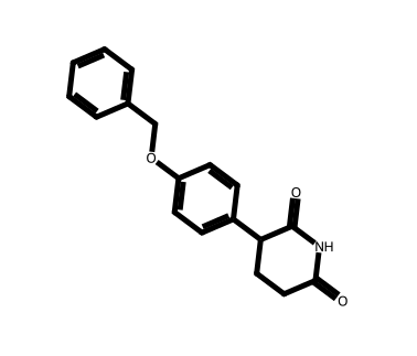 O=C1CCC(c2ccc(OCc3ccccc3)cc2)C(=O)N1